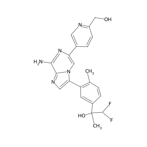 Cc1ccc(C(C)(O)C(F)F)cc1-c1cnc2c(N)nc(-c3ccc(CO)nc3)cn12